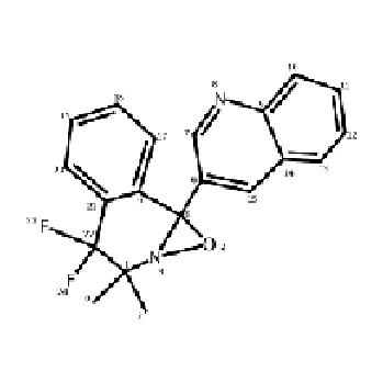 CC1(C)N2OC2(c2cnc3ccccc3c2)c2ccccc2C1(F)F